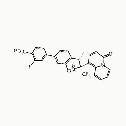 C[C@@H](c1ccc(-c2ccc(C(=O)O)c(F)c2)cc1Cl)[C@](O)(c1ccc(=O)n2ccccc12)C(F)(F)F